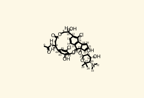 CC(=O)N[C@H]1CC(=O)OC[C@H](O)c2ccc3c(c2Cl)C2=CC=C[C@]2(O[C@@H]2OC(C)(C)[C@@H](N(C)C)[C@@H](O)[C@H]2O)[C@@H]3Oc2c(O)cc1cc2Cl